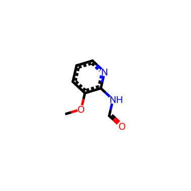 COc1cccnc1NC=O